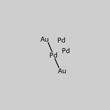 [Au][Pd][Au].[Pd].[Pd]